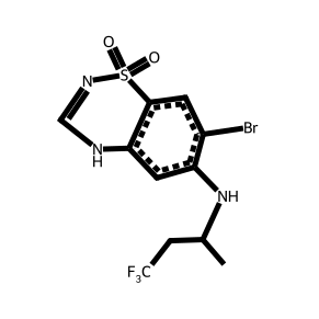 CC(CC(F)(F)F)Nc1cc2c(cc1Br)S(=O)(=O)N=CN2